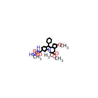 CNS(=O)(=O)NC(=O)c1ccc2c(C3CCCCC3)c3n(c2c1)CC(C)(C(=O)OC)Cc1cc(OC)ccc1-3